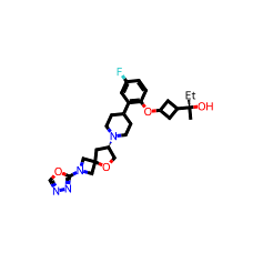 [CH2]C[C@](C)(O)C1CC(Oc2ccc(F)cc2C2CCN([C@@H]3COC4(C3)CN(c3nnco3)C4)CC2)C1